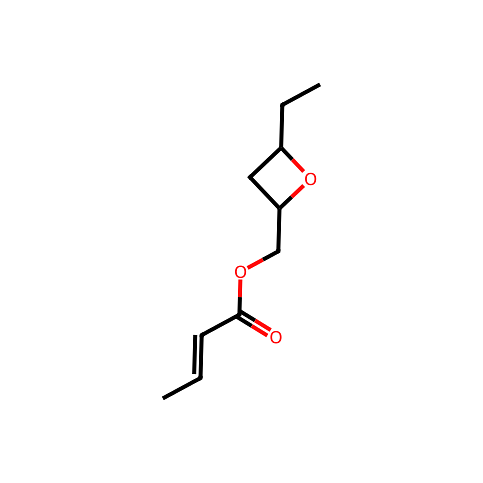 CC=CC(=O)OCC1CC(CC)O1